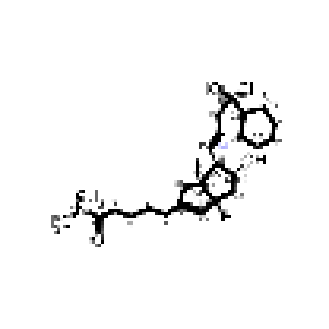 CN(C)C(=O)CCCCC1=C[C@H]2C[C@@H](O)[C@H](/C=C/C[C@@](C)(O)C3CCCCC3)[C@H]2C1